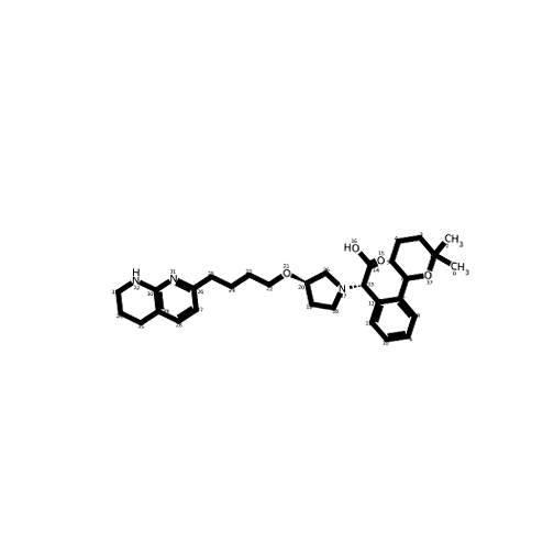 CC1(C)CCCC(c2ccccc2[C@@H](C(=O)O)N2CC[C@@H](OCCCCc3ccc4c(n3)NCCC4)C2)O1